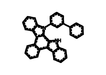 c1ccc(-c2cccc(-n3c4ccccc4c4c5ccccc5c5c6ccccc6[nH]c5c43)c2)cc1